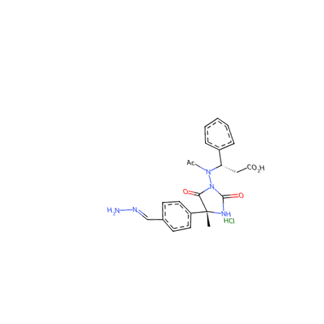 CC(=O)N([C@@H](CC(=O)O)c1ccccc1)N1C(=O)N[C@](C)(c2ccc(C=NN)cc2)C1=O.Cl